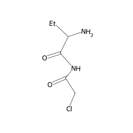 CCC(N)C(=O)NC(=O)CCl